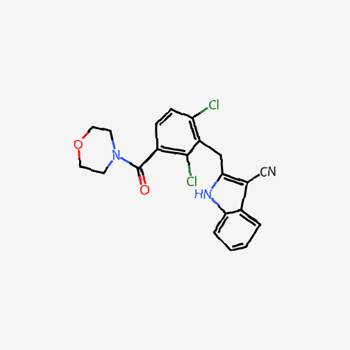 N#Cc1c(Cc2c(Cl)ccc(C(=O)N3CCOCC3)c2Cl)[nH]c2ccccc12